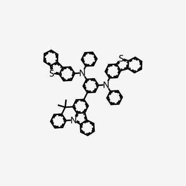 CC1(C)c2ccccc2-n2c3ccccc3c3cc(-c4cc(N(c5ccccc5)c5ccc6sc7ccccc7c6c5)cc(N(c5ccccc5)c5ccc6sc7ccccc7c6c5)c4)cc1c32